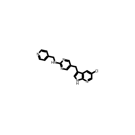 Clc1cnc2[nH]cc(Cc3cnc(NCc4ccncc4)nc3)c2c1